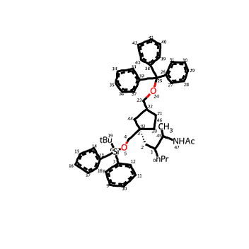 CCCC(C[C@@]1(CO[Si](c2ccccc2)(c2ccccc2)C(C)(C)C)CCC(COC(c2ccccc2)(c2ccccc2)c2ccccc2)C1)C(C)NC(C)=O